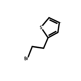 BrCCc1c[c]cs1